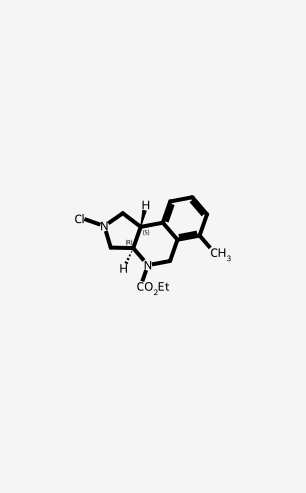 CCOC(=O)N1Cc2c(C)cccc2[C@H]2CN(Cl)C[C@@H]21